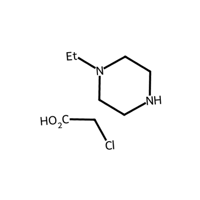 CCN1CCNCC1.O=C(O)CCl